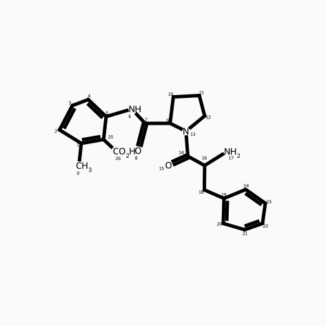 Cc1cccc(NC(=O)C2CCCN2C(=O)C(N)Cc2ccccc2)c1C(=O)O